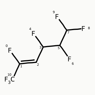 FC(=CC(F)C(F)C(F)F)C(F)(F)F